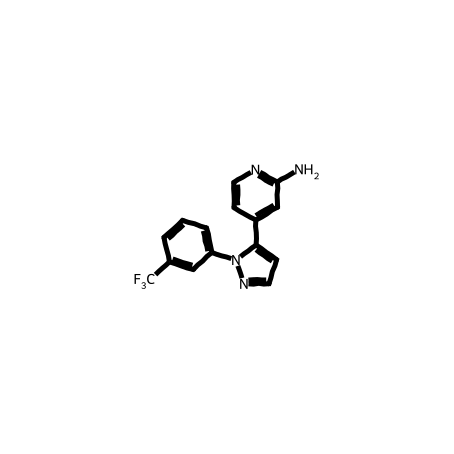 Nc1cc(-c2ccnn2-c2cccc(C(F)(F)F)c2)ccn1